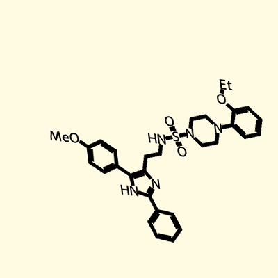 CCOc1ccccc1N1CCN(S(=O)(=O)NCCc2nc(-c3ccccc3)[nH]c2-c2ccc(OC)cc2)CC1